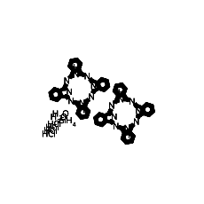 Cl.Cl.Cl.Cl.O.O.[SiH4].c1ccc2c(c1)-c1nc-2nc2[nH]c(nc3nc(nc4[nH]c(n1)c1ccccc41)-c1ccccc1-3)c1ccccc21.c1ccc2c(c1)-c1nc-2nc2[nH]c(nc3nc(nc4[nH]c(n1)c1ccccc41)-c1ccccc1-3)c1ccccc21